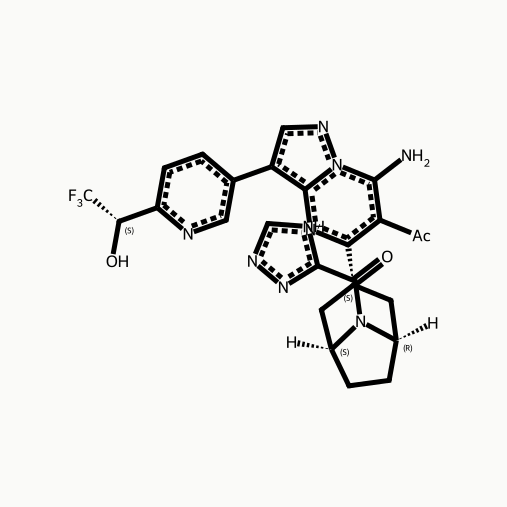 CC(=O)c1c([C@@H]2C[C@H]3CC[C@@H](C2)N3C(=O)c2nnc[nH]2)nc2c(-c3ccc([C@H](O)C(F)(F)F)nc3)cnn2c1N